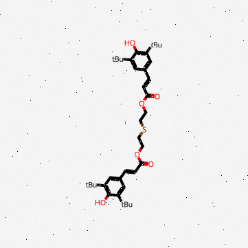 CC(C)(C)c1cc(C=CC(=O)OCCSCCOC(=O)C=Cc2cc(C(C)(C)C)c(O)c(C(C)(C)C)c2)cc(C(C)(C)C)c1O